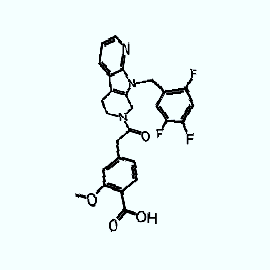 COc1cc(CC(=O)N2CCc3c(n(Cc4cc(F)c(F)cc4F)c4ncccc34)C2)ccc1C(=O)O